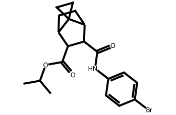 CC(C)OC(=O)C1C(C(=O)Nc2ccc(Br)cc2)C2CCC1C21CC1